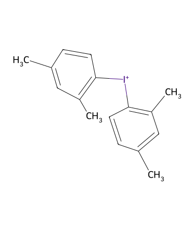 Cc1ccc([I+]c2ccc(C)cc2C)c(C)c1